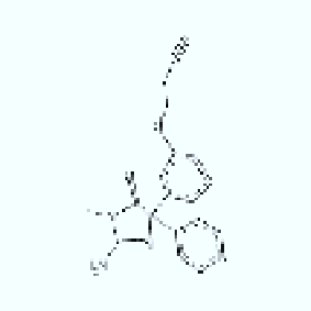 C#CCCOc1cccc(C2(c3ccncc3)N=C(N)N(C)C2=O)c1